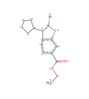 CCOC(=O)c1ccc2c(c1)SC(Br)C2C1CCCC1